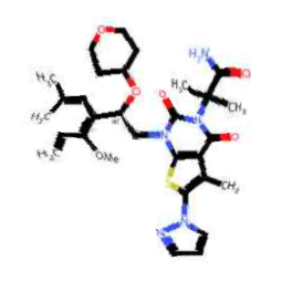 C=C/C(OC)=C(\C=C(C)C)[C@H](Cn1c(=O)n(C(C)(C)C(N)=O)c(=O)c2c(C)c(-n3cccn3)sc21)OC1CCOCC1